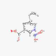 C=Cc1cncc(C(=O)O)c1.O=NO